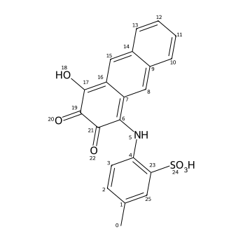 Cc1ccc(NC2=c3cc4ccccc4cc3=C(O)C(=O)C2=O)c(S(=O)(=O)O)c1